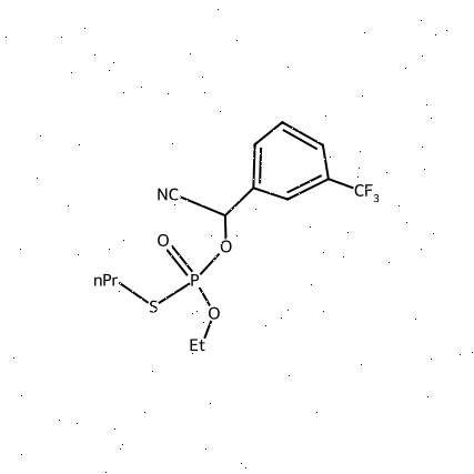 CCCSP(=O)(OCC)OC(C#N)c1cccc(C(F)(F)F)c1